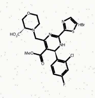 Br.COC(=O)C1=C(CN2CCOC[C@H]2C(=O)O)N=C(c2nccs2)N[C@H]1c1ccc(F)cc1Cl